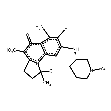 CC(=O)N1CCC[C@H](Nc2cc3c(c(N)c2F)c(=O)c(C(=O)O)c2n3C(C)(C)CC2)C1